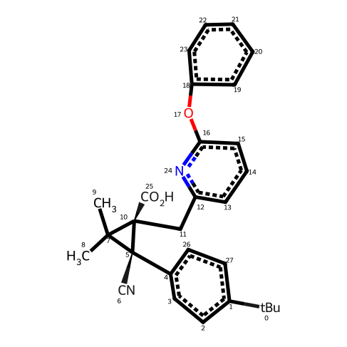 CC(C)(C)c1ccc([C@]2(C#N)C(C)(C)[C@@]2(Cc2cccc(Oc3ccccc3)n2)C(=O)O)cc1